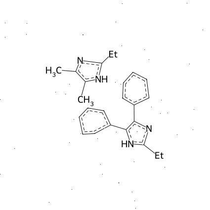 CCc1nc(-c2ccccc2)c(-c2ccccc2)[nH]1.CCc1nc(C)c(C)[nH]1